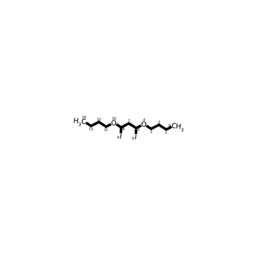 CCCCOC(I)CC(I)OCCCC